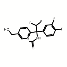 CC(=O)NC(c1ccc(F)c(F)c1)(c1ccc(CO)cn1)C(F)F